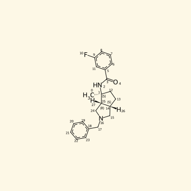 C[C@]1(NC(=O)c2cccc(F)c2)CC[C@@H]2CN(Cc3ccccc3)C[C@@H]21